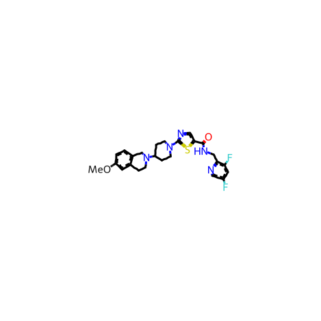 COc1ccc2c(c1)CCN(C1CCN(c3ncc(C(=O)NCc4ncc(F)cc4F)s3)CC1)C2